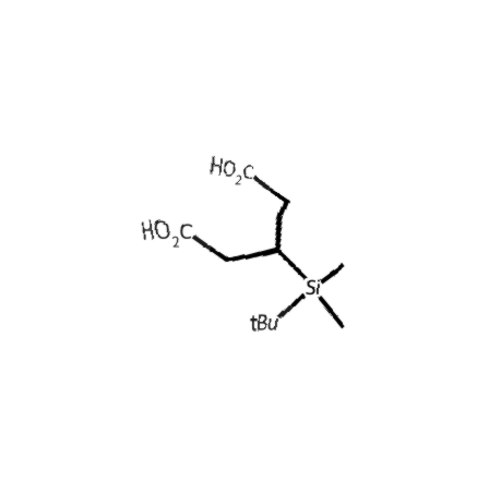 CC(C)(C)[Si](C)(C)C(CC(=O)O)CC(=O)O